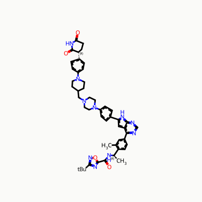 Cc1cc(-c2ncnc3[nH]c(-c4ccc(N5CCN(CC6CCN(c7ccc([C@H]8CCC(=O)NC8=O)cc7)CC6)CC5)cc4)cc23)ccc1[C@@H](C)NC(=O)c1nc(C(C)(C)C)no1